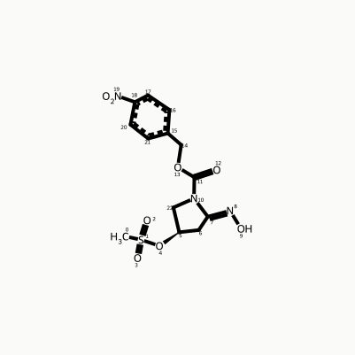 CS(=O)(=O)O[C@@H]1CC(=NO)N(C(=O)OCc2ccc([N+](=O)[O-])cc2)C1